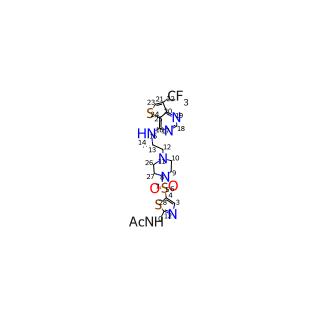 CC(=O)Nc1ncc(S(=O)(=O)N2CCN(C[C@H](C)Nc3ncnc4c(C(F)(F)F)csc34)CC2)s1